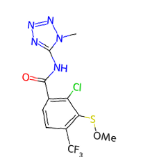 COSc1c(C(F)(F)F)ccc(C(=O)Nc2nnnn2C)c1Cl